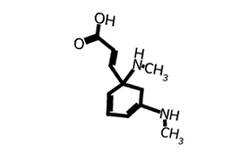 CNC1=CC=CC(C=CC(=O)O)(NC)C1